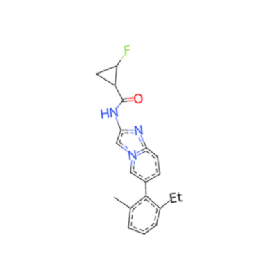 CCc1cccc(C)c1-c1ccc2nc(NC(=O)C3CC3F)cn2c1